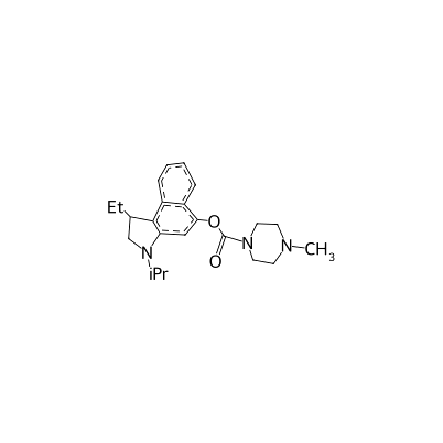 CCC1CN(C(C)C)c2cc(OC(=O)N3CCN(C)CC3)c3ccccc3c21